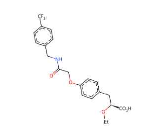 CCO[C@@H](Cc1ccc(OCC(=O)NCc2ccc(C(F)(F)F)cc2)cc1)C(=O)O